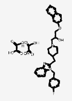 O=C(O)C(=O)O.O=C(O)C(=O)O.OC(COc1ccc2ccccc2c1)CN1CCC(Cc2nc3ccccc3n2Cc2ccc(F)cc2)CC1